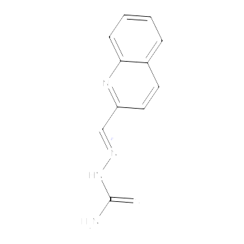 NC(=S)N/N=C/c1ccc2ccccc2n1